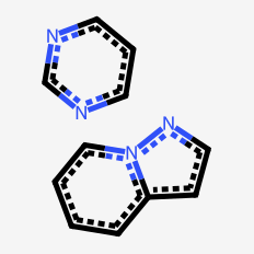 c1ccn2nccc2c1.c1cncnc1